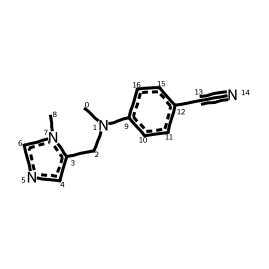 CN(Cc1cncn1C)c1ccc(C#N)cc1